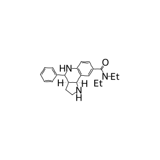 CCN(CC)C(=O)c1ccc2c(c1)[C@H]1NCC[C@H]1C(c1ccccc1)N2